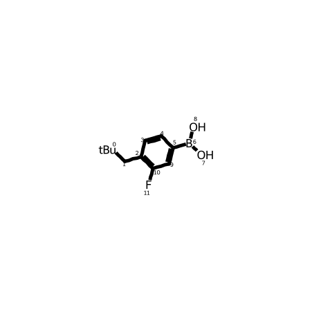 CC(C)(C)Cc1ccc(B(O)O)cc1F